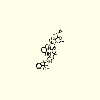 CCC[C@H](NC(=O)[C@@H]1CC2CCCCC2N1C(=O)[C@@H](NC(=O)CNC(=O)[C@](C)(O)c1ccccc1)C(C)(C)C)C(=O)C(=O)NC1CC1